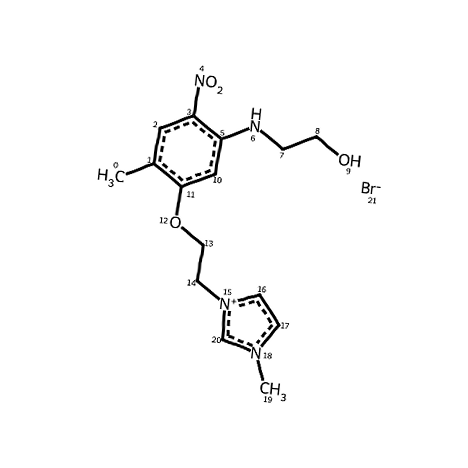 Cc1cc([N+](=O)[O-])c(NCCO)cc1OCC[n+]1ccn(C)c1.[Br-]